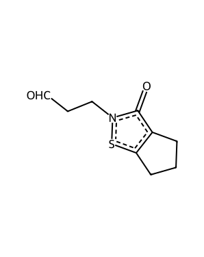 O=CCCn1sc2c(c1=O)CCC2